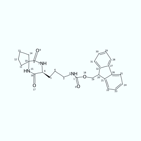 O=C(NCCC[C@@H]1NC(=O)C2(CCCC2)NC1=O)OCC1c2ccccc2-c2ccccc21